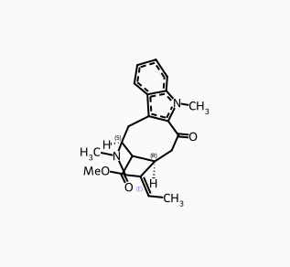 C/C=C1/CN(C)[C@H]2Cc3c(n(C)c4ccccc34)C(=O)C[C@@H]1C2C(=O)OC